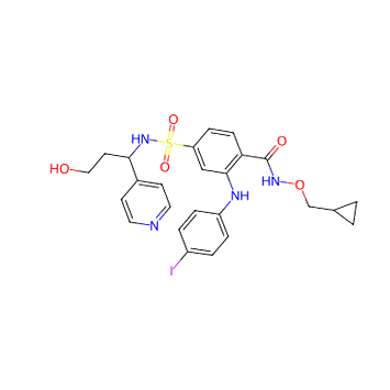 O=C(NOCC1CC1)c1ccc(S(=O)(=O)NC(CCO)c2ccncc2)cc1Nc1ccc(I)cc1